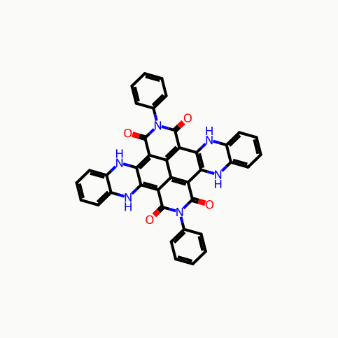 O=c1c2c3[nH]c4ccccc4[nH]c3c3c(=O)n(-c4ccccc4)c(=O)c4c5[nH]c6ccccc6[nH]c5c(c(=O)n1-c1ccccc1)c2c34